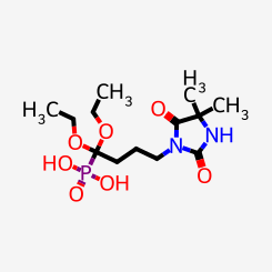 CCOC(CCCN1C(=O)NC(C)(C)C1=O)(OCC)P(=O)(O)O